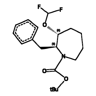 CC(C)(C)OC(=O)N1CCCC[C@@H](OC(F)F)[C@@H]1Cc1ccccc1